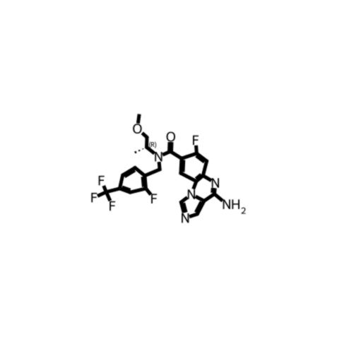 COC[C@@H](C)N(Cc1ccc(C(F)(F)F)cc1F)C(=O)c1cc2c(cc1F)nc(N)c1cncn12